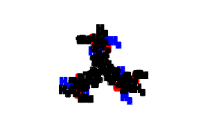 CC(C)(C)OC(=O)[C@@](C)(N)C(=O)Nc1ccc(C(c2ccc(NC(=O)[C@](C)(N)C(=O)OC(C)(C)C)cc2)c2ccc(NC(=O)[C@](C)(N)C(=O)OC(C)(C)C)cc2)cc1